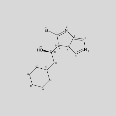 CCC1=Nc2cncn2[SH]1[C@H](O)CC1CCCCC1